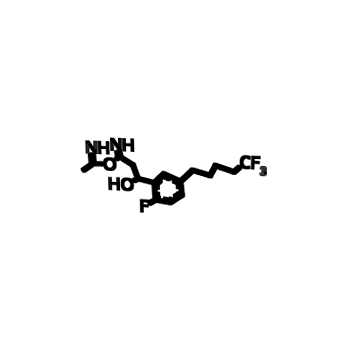 CC(=N)OC(=N)CC(O)c1cc(CCCCC(F)(F)F)ccc1F